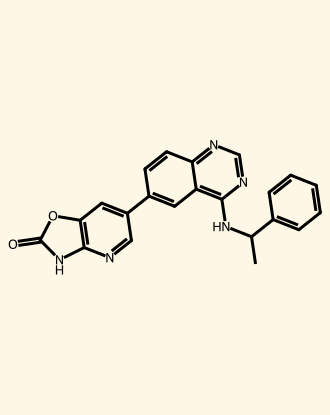 CC(Nc1ncnc2ccc(-c3cnc4[nH]c(=O)oc4c3)cc12)c1ccccc1